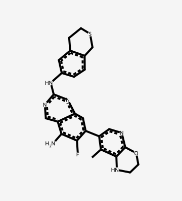 Cc1c(-c2cc3nc(Nc4ccc5c(c4)CCSC5)ncc3c(N)c2F)cnc2c1NCCO2